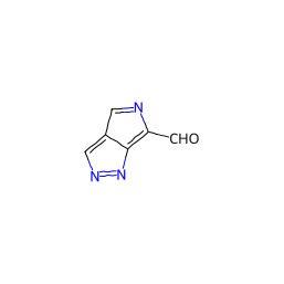 O=CC1=C2N=NC=C2C=N1